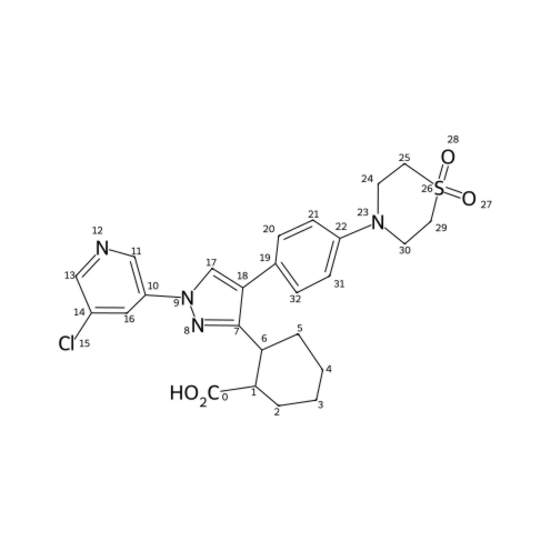 O=C(O)C1CCCCC1c1nn(-c2cncc(Cl)c2)cc1-c1ccc(N2CCS(=O)(=O)CC2)cc1